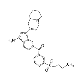 CCCCS(=O)(=O)c1cccc(C(=O)c2ccc3c(c2)c(C2=CCN4CCCCC4C2)cn3N)c1